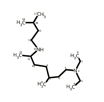 CCN(CC)CCC(C)CCC(C)NCCC(C)C